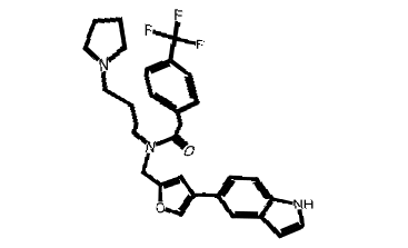 O=C(c1ccc(C(F)(F)F)cc1)N(CCCN1CCCC1)Cc1cc(-c2ccc3[nH]ccc3c2)co1